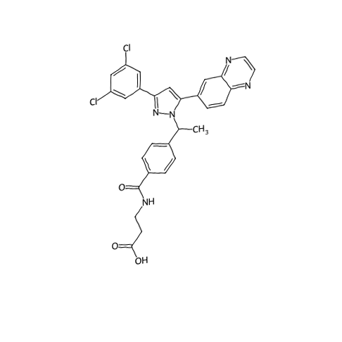 CC(c1ccc(C(=O)NCCC(=O)O)cc1)n1nc(-c2cc(Cl)cc(Cl)c2)cc1-c1ccc2nccnc2c1